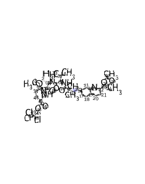 COC[C@H](NC(=O)[C@@H](NC(=O)C(C)(C)/C=C/c1ccc2ccc([C@@H](C)OC(C)=O)nc2c1)C(C)C)C(=O)N1CCC[C@@H](C(=O)OCC(Cl)(Cl)Cl)N1